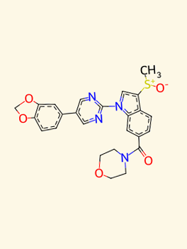 C[S+]([O-])c1cn(-c2ncc(-c3ccc4c(c3)OCO4)cn2)c2cc(C(=O)N3CCOCC3)ccc12